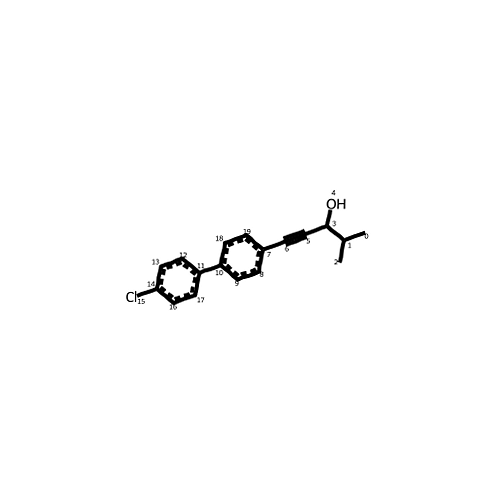 CC(C)C(O)C#Cc1ccc(-c2ccc(Cl)cc2)cc1